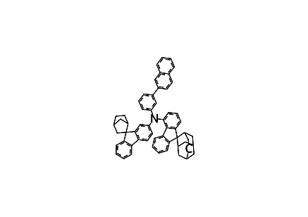 c1cc(-c2ccc3ccccc3c2)cc(N(c2ccc3c(c2)C2(CC4CCC2C4)c2ccccc2-3)c2cccc3c2-c2ccccc2C32C3CCC4CC(C3)CC2C4)c1